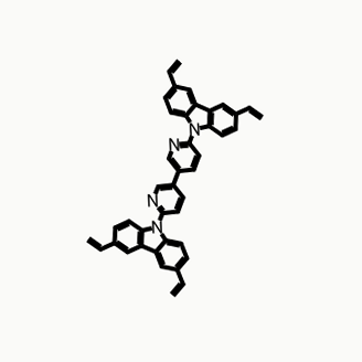 C=Cc1ccc2c(c1)c1cc(C=C)ccc1n2-c1ccc(-c2ccc(-n3c4ccc(C=C)cc4c4cc(C=C)ccc43)nc2)cn1